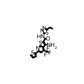 CCc1nnc(NC(=O)c2sc3nc(-c4cccs4)cc(C(F)(F)F)c3c2N)s1